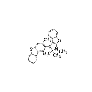 Cc1cc2sc3ccccc3c2cc1N1c2c(oc3ccccc23)N(C)C1(C)C